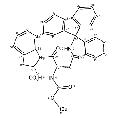 CC(C)(C)OC(=O)N[C@@H](CC(=O)NC(c1ccccc1)(c1ccccc1)c1ccccc1)C(=O)N1c2ncccc2C[C@H]1C(=O)O